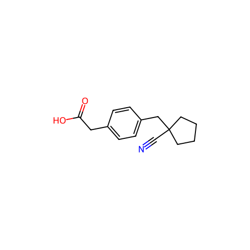 N#CC1(Cc2ccc(CC(=O)O)cc2)CCCC1